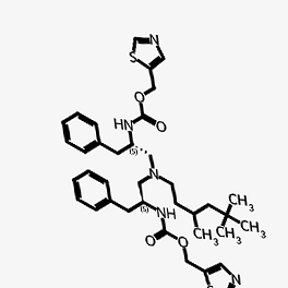 CC(CCN(C[C@H](Cc1ccccc1)NC(=O)OCc1cncs1)C[C@H](Cc1ccccc1)NC(=O)OCc1cncs1)CC(C)(C)C